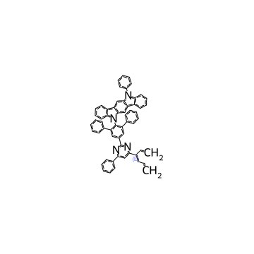 C=C/C=C(\C=C)c1cc(-c2ccccc2)nc(-c2cc(-c3ccccc3)c(-n3c4ccccc4c4cc5c(cc43)c3ccccc3n5-c3ccccc3)c(-c3ccccc3)c2)n1